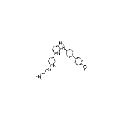 COc1ccc(-c2ccc(-n3cnc4ccc(-c5ccc(OCCCN(C)C)nc5)nc43)cc2)cc1